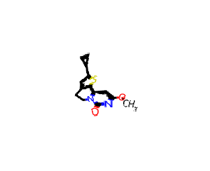 COc1cc2n(c(=O)n1)CCc1cc(C3CC3)sc1-2